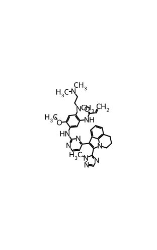 C=CC(=O)Nc1cc(Nc2nccc(-c3c(-c4ncnn4C)n4c5c(cccc35)CCC4)n2)c(OC)cc1N(C)CCN(C)C